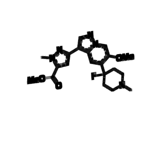 COC(=O)c1cc(-c2cnn3cc(OC)c(C4(F)CCN(C)CC4)cc23)nn1C